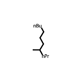 C[CH]CCCCCC(C)CCC